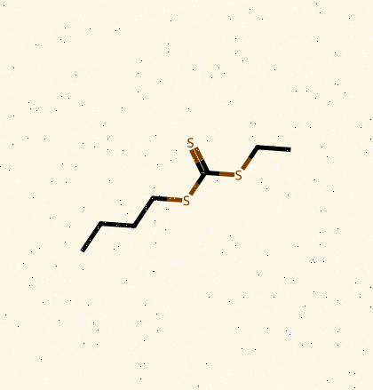 CCCCSC(=S)SCC